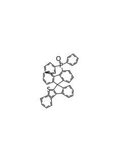 O=P(c1ccccc1)(c1ccccc1)c1cccc2c1-c1ccccc1C21c2ccccc2-c2c1sc1ccccc21